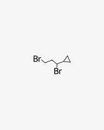 BrCCC(Br)C1CC1